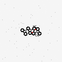 N#Cc1ccc2c3ccccc3n(-c3c(C#N)cccc3-c3ccccc3-n3c4ccccc4c4c(-n5c6ccccc6c6ccccc65)cccc43)c2c1